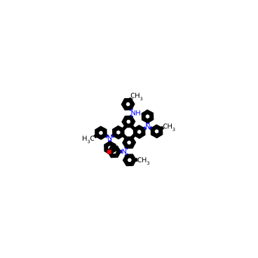 Cc1cccc(Nc2ccc3c(c2)-c2cc(N(c4ccccc4)c4cccc(C)c4)ccc2-c2ccc(N(c4ccccc4)c4cccc(C)c4)cc2-c2cc(N(c4ccccc4)c4cccc(C)c4)ccc2-3)c1